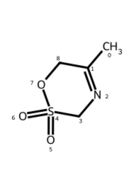 CC1=NCS(=O)(=O)OC1